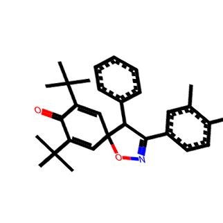 Cc1ccc(C2=NOC3(C=C(C(C)(C)C)C(=O)C(C(C)(C)C)=C3)C2c2ccccc2)cc1C